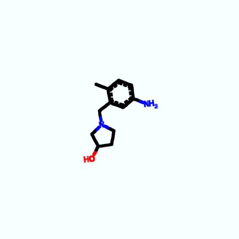 Cc1ccc(N)cc1CN1CCC(O)C1